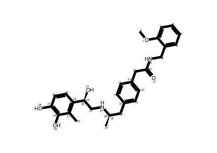 COc1ccccc1CNC(=O)Cc1ccc(C[C@@H](C)NC[C@H](O)c2ccc(O)c(O)c2C)cc1